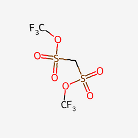 O=S(=O)(CS(=O)(=O)OC(F)(F)F)OC(F)(F)F